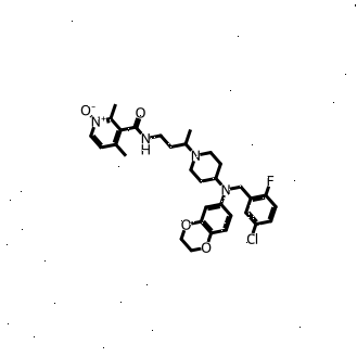 Cc1cc[n+]([O-])c(C)c1C(=O)NCCC(C)N1CCC(N(Cc2cc(Cl)ccc2F)c2ccc3c(c2)OCCO3)CC1